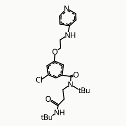 CC(C)(C)NC(=O)CCN(C(=O)c1cc(Cl)cc(OCCNc2ccncc2)c1)C(C)(C)C